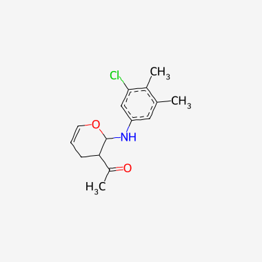 CC(=O)C1CC=COC1Nc1cc(C)c(C)c(Cl)c1